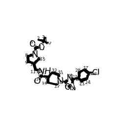 CC(C)(C)OC(=O)N1CCC(CNC(=O)C2CCN(c3nc(-c4ccc(Cl)cc4)no3)CC2)C1